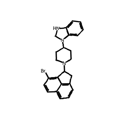 Brc1ccc2cccc3c2c1C(N1CCC(N2[CH]Nc4ccccc42)CC1)C3